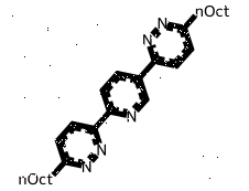 CCCCCCCCc1ccc(-c2ccc(-c3ccc(CCCCCCCC)nn3)nc2)nn1